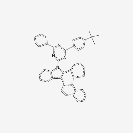 CC(C)(C)c1ccc(-c2nc(-c3ccccc3)nc(-n3c4ccccc4c4c5ccc6ccccc6c5c5ccccc5c43)n2)cc1